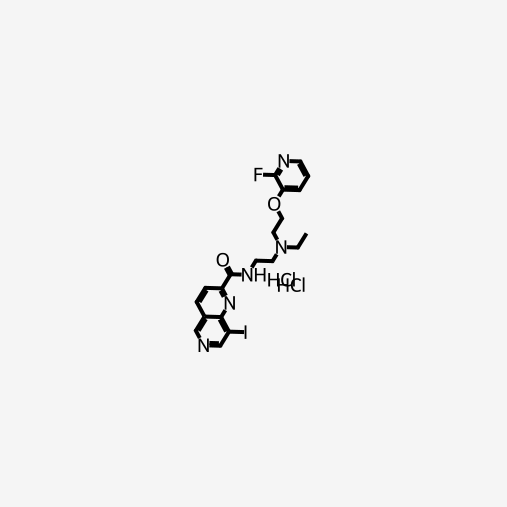 CCN(CCNC(=O)c1ccc2cncc(I)c2n1)CCOc1cccnc1F.Cl.Cl